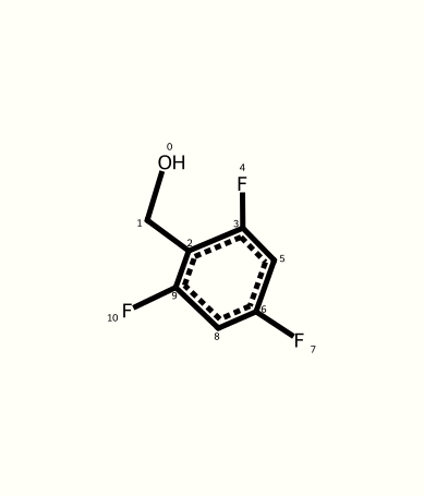 OCc1c(F)cc(F)cc1F